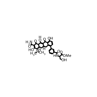 COC(=O)C(CO)NC(=O)c1cccc(-c2ccc(O)c3c2C[C@H]2C[C@@H]4C(C(=O)C(C(N)=O)=C(O)C4N(C)C)C(O)=C2C3=O)c1